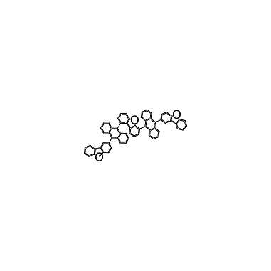 c1ccc2c(c1)oc1ccc(-c3c4ccccc4c(-c4cccc5c4oc4cccc(-c6c7ccccc7c(-c7ccc8oc9ccccc9c8c7)c7ccccc67)c45)c4ccccc34)cc12